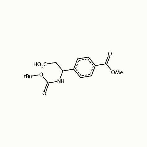 COC(=O)c1ccc(C(CC(=O)O)NC(=O)OC(C)(C)C)cc1